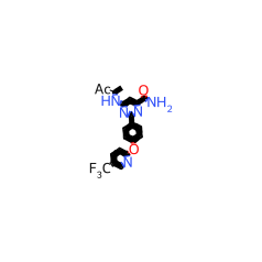 CC(=O)[C@H](C)Nc1cc(C(N)=O)nc(-c2ccc(Oc3ccc(C(F)(F)F)cn3)cc2)n1